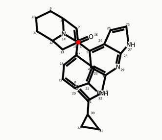 O=C(Nc1cc(C2=CC3CCCC(C2)N3C(=O)c2cccc(Br)c2)c2cc[nH]c2n1)C1CC1